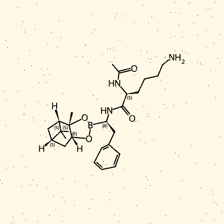 CC(=O)N[C@@H](CCCCN)C(=O)N[C@@H](Cc1ccccc1)B1O[C@@H]2C[C@@H]3C[C@@H](C3(C)C)[C@]2(C)O1